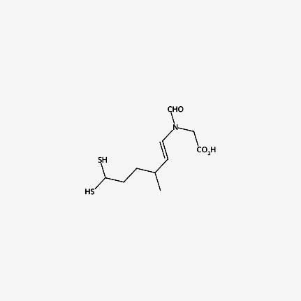 CC(C=CN(C=O)CC(=O)O)CCC(S)S